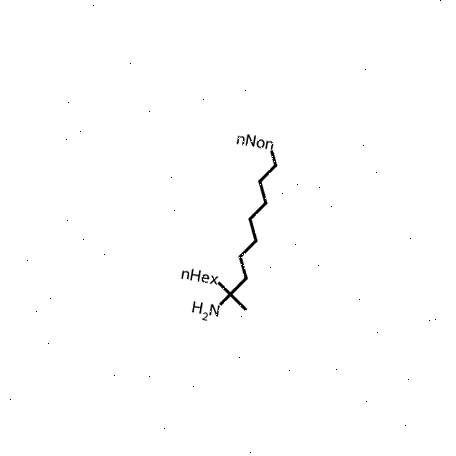 CCCCCCCCCCCCCCCCC(C)(N)CCCCCC